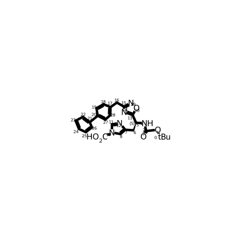 CC(C)(C)OC(=O)N[C@@H](Cc1cn(C(=O)O)cn1)c1nc(Cc2ccc(-c3ccccc3)cc2)no1